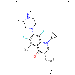 CCc1c(F)c(N2CCNC(C)C2)c(F)c2c1c(=O)c(C(=O)O)cn2C1CC1